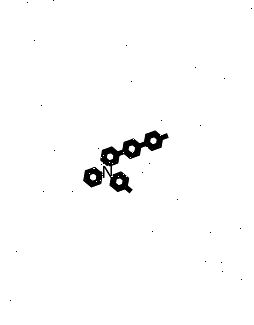 Cc1ccc(-c2ccc(-c3cccc(N(c4ccccc4)c4ccc(C)cc4)c3)cc2)cc1